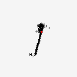 CCCCCCCCCCCCCCCCCCCCCCC(=Cc1cc(OC)c(OC)c(OC)c1)C(=O)O